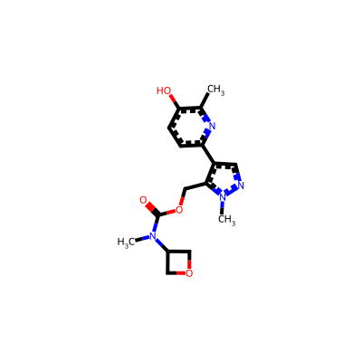 Cc1nc(-c2cnn(C)c2COC(=O)N(C)C2COC2)ccc1O